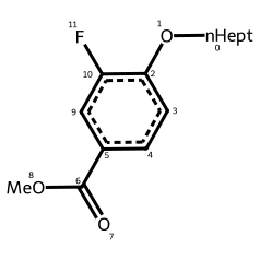 CCCCCCCOc1ccc(C(=O)OC)cc1F